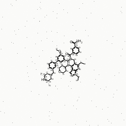 CCc1nc2c(cnn2CC)c(NC2CCOCC2)c1CN(Cc1cc(OC)cc(-c2cccc(CN3C[C@@H](C)N[C@@H](C)C3)c2)c1)C(=O)c1cccc(C(N)=O)c1